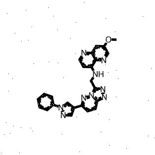 COc1cnc2c(NCc3nnc4ccc(-c5cnn(-c6ccccc6)c5)nn34)ccnc2c1